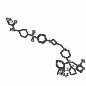 C=CC(=O)NC1CCC(S(=O)(=O)c2ccc(N3CC(CN4CCC([C@@](Cn5ccnc5CC)(c5cccc(F)c5)[C@H]5CCC[C@@H]5NC(=O)O)CC4)C3)cc2)CC1